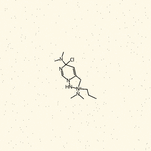 CCC[N+]1(N(C)C)CC2=CC(Cl)(N(C)C)N=CN2N1